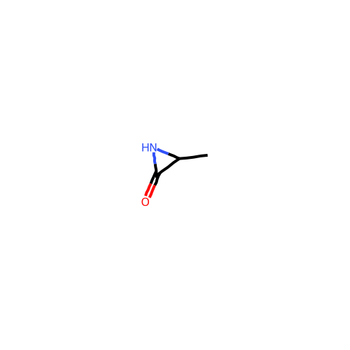 CC1NC1=O